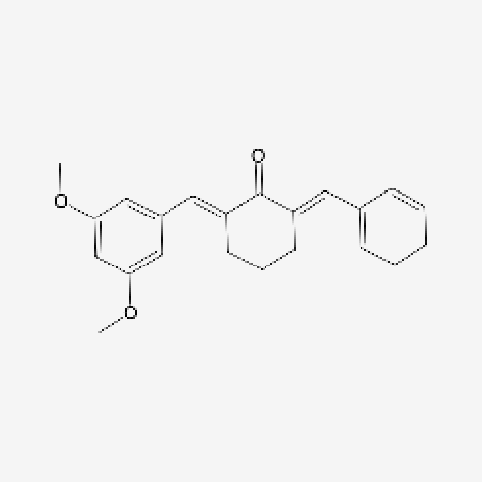 COc1cc(/C=C2\CCC/C(=C\C3=CCCC=C3)C2=O)cc(OC)c1